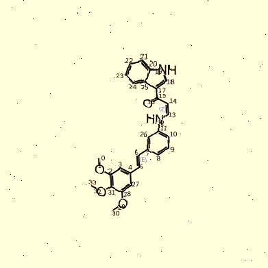 COc1cc(/C=C/c2cccc(N/C=C\C(=O)c3c[nH]c4ccccc34)c2)cc(OC)c1OC